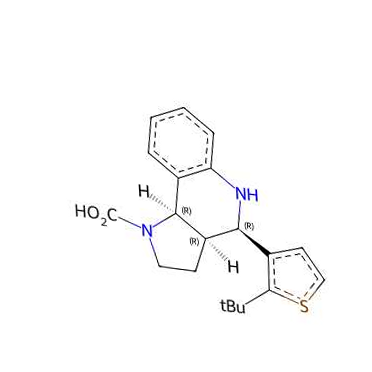 CC(C)(C)c1sccc1[C@@H]1Nc2ccccc2[C@H]2[C@@H]1CCN2C(=O)O